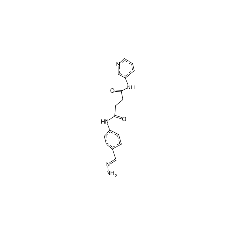 NN=Cc1ccc(NC(=O)CCC(=O)Nc2cccnc2)cc1